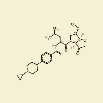 CO[C@@H]1CN(C(=O)[C@H](CC(C)C)NC(=O)c2ccc(C3CCN(C4CC4)CC3)cc2)[C@@H]2C(=O)CO[C@@H]21